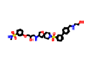 CNS(=O)(=O)c1cccc(OCC(O)CNC2COC3(CCN(S(=O)(=O)c4cccc(-c5ccc(CNCCO)cc5)c4)CC3)C2)c1